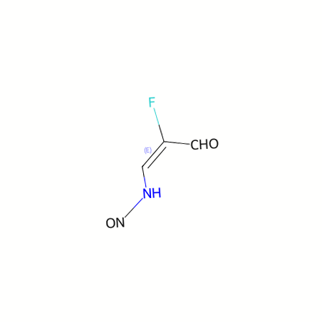 O=C/C(F)=C\NN=O